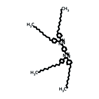 CCCCCCCCCCCCc1ccc(-c2nnc(-c3ccc(-c4nnc(-c5ccc(CCCCCCCCCCCC)cc5)c(-c5ccc(CCCCCCCCCCCC)cc5)n4)cc3)nc2-c2ccc(CCCCCCCCCCCC)cc2)cc1